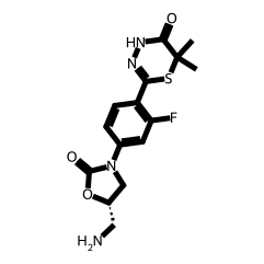 CC1(C)SC(c2ccc(N3C[C@H](CN)OC3=O)cc2F)=NNC1=O